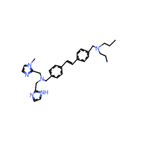 CCCN(CCC)Cc1ccc(C=Cc2ccc(CN(Cc3ncc[nH]3)Cc3nccn3C)cc2)cc1